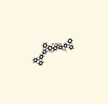 Cc1cc2c(cc1-c1ccc(N(c3ccccc3)c3ccccc3)cc1)C(C)(C)c1cc(-c3ccc(N(c4ccccc4)c4ccc(-c5ccc(N(c6ccccc6)c6ccccc6)cc5)cc4)cc3)c(C)cc1-2